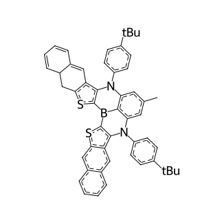 Cc1cc2c3c(c1)N(c1ccc(C(C)(C)C)cc1)c1c(sc4cc5ccccc5cc14)B3c1sc3c(c1N2c1ccc(C(C)(C)C)cc1)C=C1C=CC=CC1C3